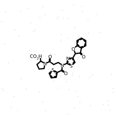 O=C1c2ccccc2OC1c1csc(N(CCC(=O)N2CCCC2C(=O)O)C(=O)c2cccs2)n1